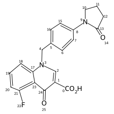 O=C(O)c1cn(Cc2ccc(N3CCCC3=O)cc2)c2cccc(F)c2c1=O